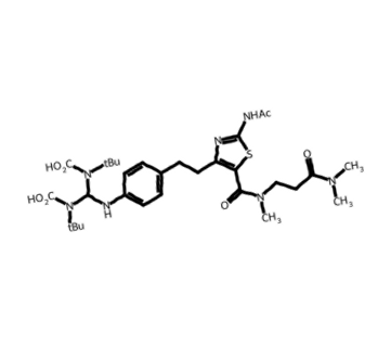 CC(=O)Nc1nc(CCc2ccc(NC(N(C(=O)O)C(C)(C)C)N(C(=O)O)C(C)(C)C)cc2)c(C(=O)N(C)CCC(=O)N(C)C)s1